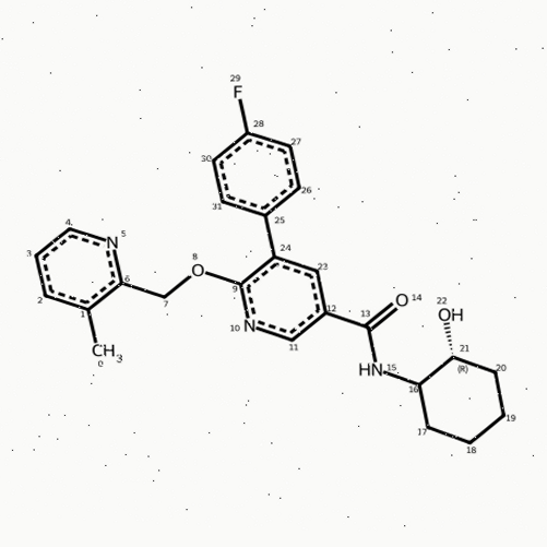 Cc1cccnc1COc1ncc(C(=O)NC2CCCC[C@H]2O)cc1-c1ccc(F)cc1